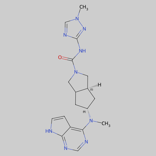 CN(c1ncnc2[nH]ccc12)[C@@H]1CC2CN(C(=O)Nc3ncn(C)n3)C[C@H]2C1